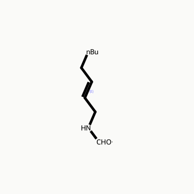 CCCCC/C=C/CN[C]=O